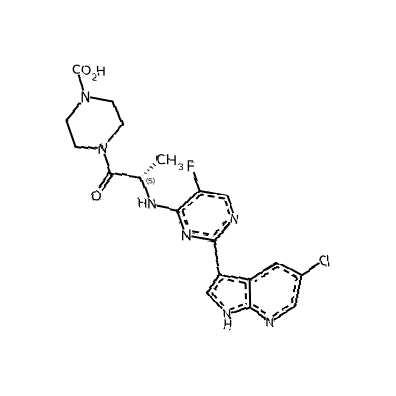 C[C@H](Nc1nc(-c2c[nH]c3ncc(Cl)cc23)ncc1F)C(=O)N1CCN(C(=O)O)CC1